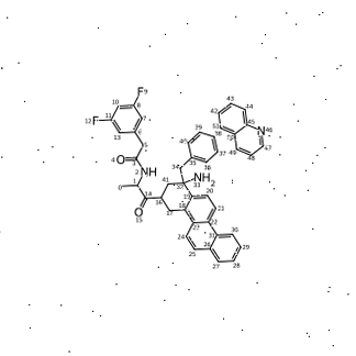 CC(NC(=O)Cc1cc(F)cc(F)c1)C(=O)C1Cc2c(ccc3c2ccc2ccccc23)C(N)(Cc2ccccc2)C1.c1ccc2ncccc2c1